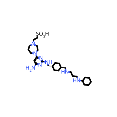 Nc1cc(N2CCCN(CCS(=O)(=O)O)CC2)nc(NC[C@H]2CC[C@H](CNCCCNC3CCCCC3)CC2)n1